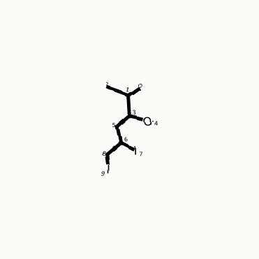 CC(C)C([O])CC(I)CI